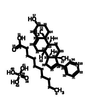 CCCCCCCCCC(=O)O.C[C@]12CC[C@H](O)CC1=CC[C@@H]1[C@@H]2CC[C@]2(C)C(c3cccnc3)=CC[C@@H]12.O=P(O)(O)O